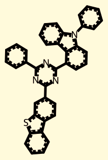 c1ccc(-c2nc(-c3ccc4c(c3)sc3ccccc34)nc(-c3cccc4c3c3ccccc3n4-c3ccccc3)n2)cc1